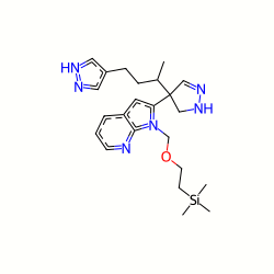 CC(CCc1cn[nH]c1)C1(c2cc3cccnc3n2COCC[Si](C)(C)C)C=NNC1